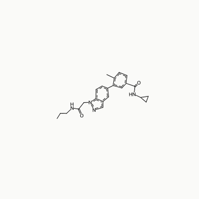 CCCNC(=O)Cn1ncc2cc(-c3cc(C(=O)NC4CC4)ccc3C)ccc21